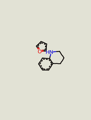 c1ccc2c(c1)CCCN2.c1ccoc1